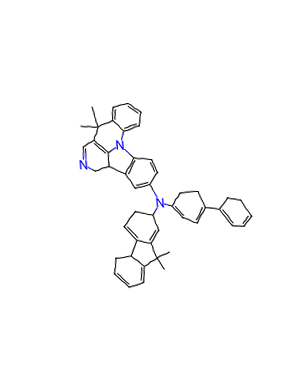 CC1(C)C2=CC(N(C3=CC=C(C4=CC=CCC4)CC3)c3ccc4c(c3)C3CN=CC5=C3N4c3ccccc3C5(C)C)CC=C2C2CC=CC=C21